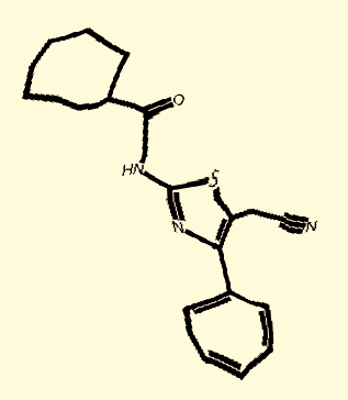 N#Cc1sc(NC(=O)C2CCCCC2)nc1-c1ccccc1